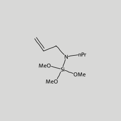 C=CCN(CCC)[Si](OC)(OC)OC